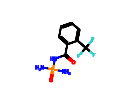 NP(N)(=O)NC(=O)c1ccccc1C(F)(F)F